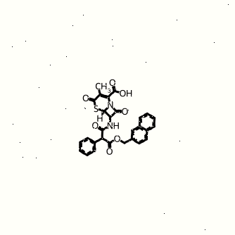 CC1=C(C(=O)O)N2C(=O)C(NC(=O)C(C(=O)OCc3ccc4ccccc4c3)c3ccccc3)[C@@H]2SC1=O